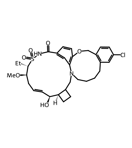 CC[C@H]1[C@H](OC)C/C=C/[C@H](O)[C@@H]2CCC2CN2CCCCc3cc(Cl)ccc3COc3ccc(cc32)C(=O)NS1(=O)=O